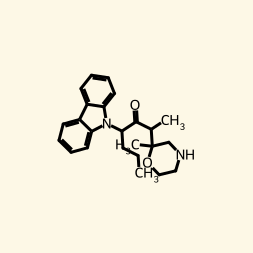 CCCC(C(=O)C(C)C1(C)CNCCO1)n1c2ccccc2c2ccccc21